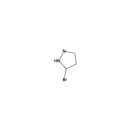 BrC1CC[N]N1